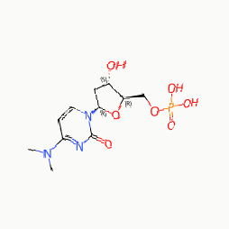 CN(C)c1ccn([C@H]2C[C@H](O)[C@@H](COP(=O)(O)O)O2)c(=O)n1